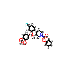 O=C(Oc1ccccc1)N1CC[C@H](c2ccc(F)cc2)[C@@H](COc2ccc3c(c2)OCO3)C1